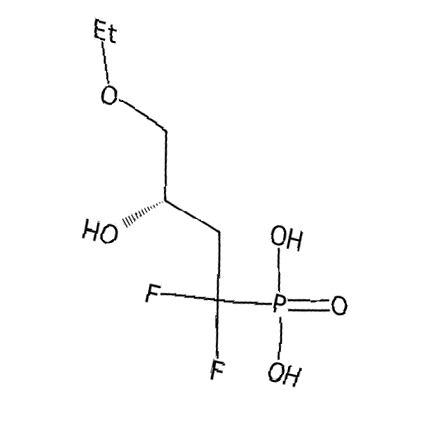 CCOC[C@@H](O)CC(F)(F)P(=O)(O)O